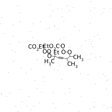 CCOC(=O)OOOC(C)C(C)C#CC(C)(CC)OOOC(=O)OCC